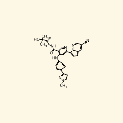 Cn1cnc(-c2ccc(Nc3cc(-c4ccc5cc(C#N)cnn45)ncc3C(=O)NC[C@@H](F)C(C)(C)O)cc2)n1